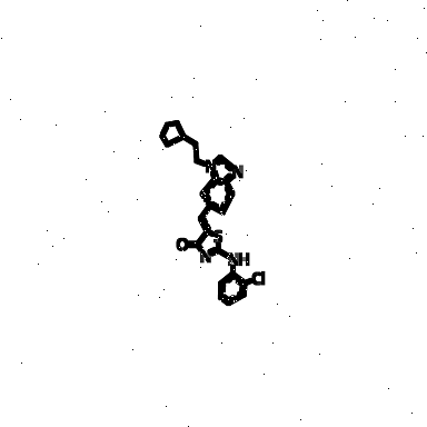 O=C1N=C(Nc2ccccc2Cl)S/C1=C\c1ccc2ncn(CCC3CCCC3)c2c1